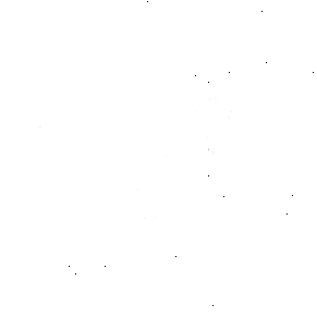 c1ccc(N(c2ccc3c(ccc4ccc5c(ccc6c7ccccc7sc65)c43)c2)c2cccc3sc4ccccc4c23)cc1